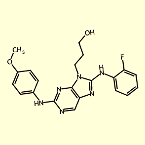 COc1ccc(Nc2ncc3nc(Nc4ccccc4F)n(CCCO)c3n2)cc1